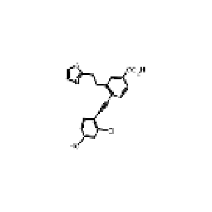 O=C(O)c1ccc(C#Cc2ccc(O)cc2Cl)c(CCc2nccs2)c1